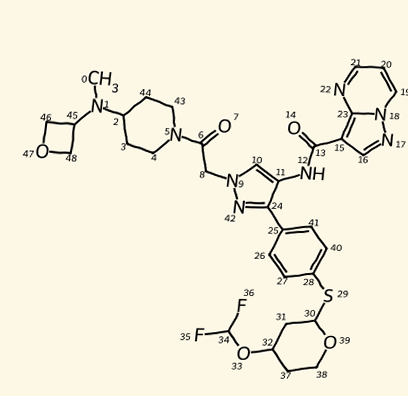 CN(C1CCN(C(=O)Cn2cc(NC(=O)c3cnn4cccnc34)c(-c3ccc(SC4CC(OC(F)F)CCO4)cc3)n2)CC1)C1COC1